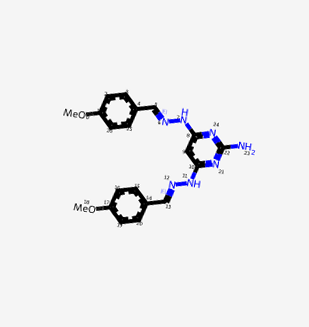 COc1ccc(/C=N/Nc2cc(N/N=C/c3ccc(OC)cc3)nc(N)n2)cc1